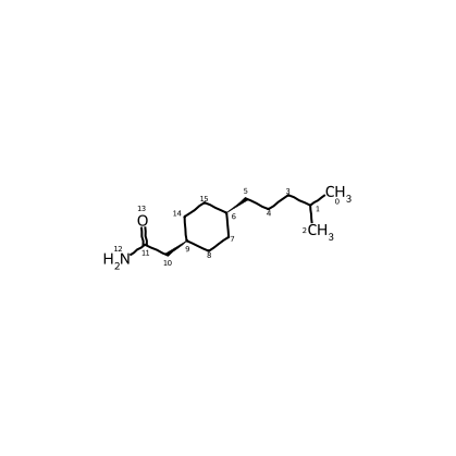 CC(C)CCC[C@H]1CC[C@@H](CC(N)=O)CC1